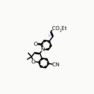 CCOC(=O)/C=C/c1ccn(C2=CC(C)(C)Oc3ccc(C#N)cc32)c(=O)c1